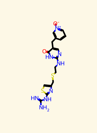 N=C(N)Nc1nc(CSCCNc2ncc(Cc3ccc[n+]([O-])c3)c(=O)[nH]2)cs1